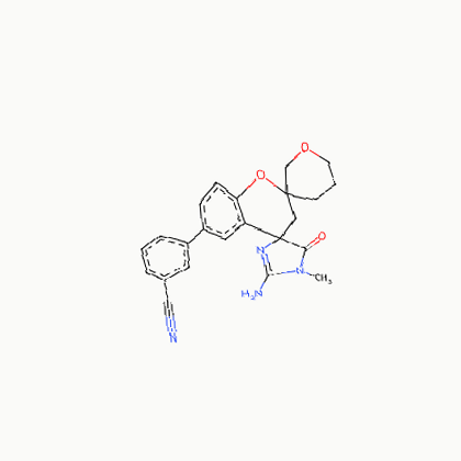 CN1C(=O)C2(CC3(CCCOC3)Oc3ccc(-c4cccc(C#N)c4)cc32)N=C1N